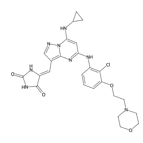 O=C1NC(=O)/C(=C/c2cnn3c(NC4CC4)cc(Nc4cccc(OCCN5CCOCC5)c4Cl)nc23)N1